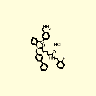 Cl.NCc1cccc(Oc2ccccc2N(Cc2ccc(-c3ccccc3)cc2)C(=O)CCCC(=O)NCc2ccccc2F)c1